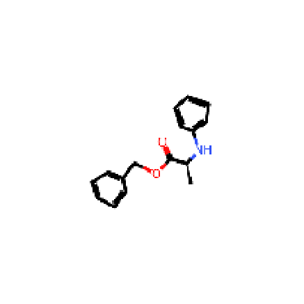 C[C@H](Nc1ccccc1)C(=O)OCc1ccccc1